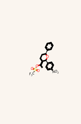 C/C(OS(=O)(=O)C(F)(F)F)=C1/CC[C@@H](c2ccccc2)O[C@H]1c1ccc([N+](=O)[O-])cc1